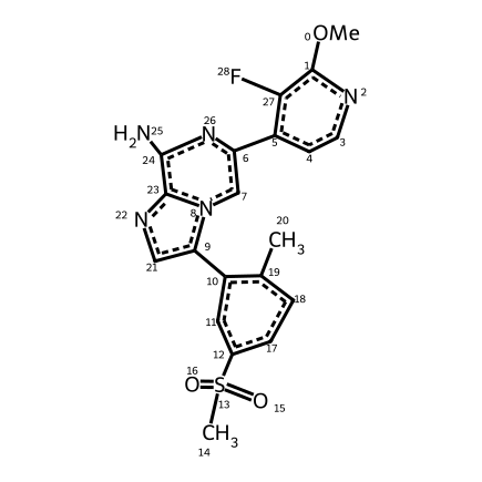 COc1nccc(-c2cn3c(-c4cc(S(C)(=O)=O)ccc4C)cnc3c(N)n2)c1F